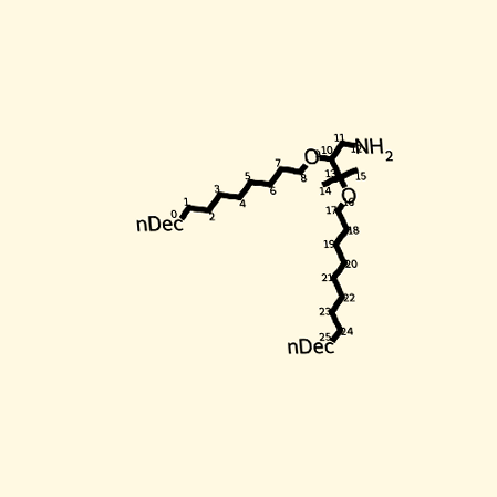 CCCCCCCCCCCCCCCCCCOC(CN)C(C)(C)OCCCCCCCCCCCCCCCCCC